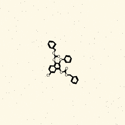 O=C(OCc1ccccc1)Oc1cc(Oc2ccccc2)c(OC(=O)OCc2ccccc2)c2ccc(Cl)cc12